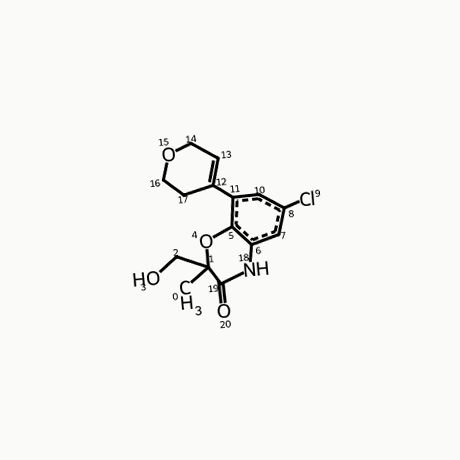 CC1(CO)Oc2c(cc(Cl)cc2C2=CCOCC2)NC1=O